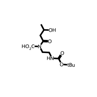 CC(O)CC(=O)N(CCNC(=O)OC(C)(C)C)C(=O)O